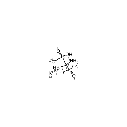 CC(N)(P(=O)([O-])[O-])P(=O)(O)O.[K+].[K+]